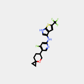 Fc1cc(Nc2c[nH]c3sc(C(F)(F)F)cc23)ncc1C1CCC2(CC2)OC1